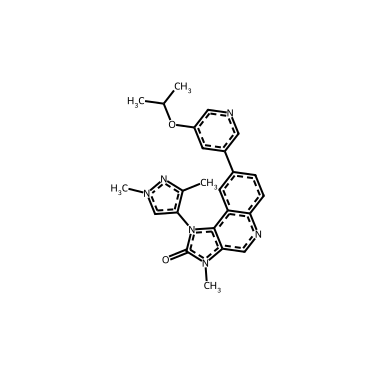 Cc1nn(C)cc1-n1c(=O)n(C)c2cnc3ccc(-c4cncc(OC(C)C)c4)cc3c21